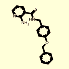 Nc1ncccc1C(=S)NCc1ccc(OCc2ccccc2)cc1